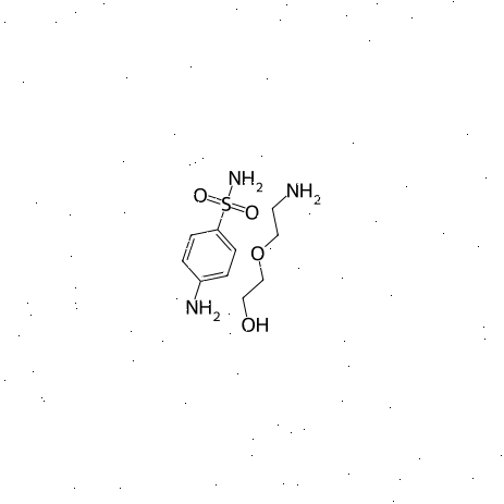 NCCOCCO.Nc1ccc(S(N)(=O)=O)cc1